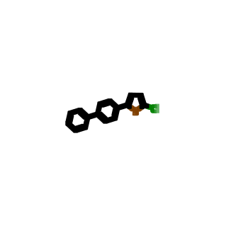 Clc1ccc(-c2ccc(-c3ccccc3)cc2)s1